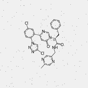 Cc1cnc(CNC(=O)[C@H](Cc2ccccc2)n2cnc(-c3cc(Cl)ccc3-n3cc(Cl)nn3)cc2=O)cn1